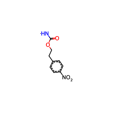 [NH]C(=O)OCCc1ccc([N+](=O)[O-])cc1